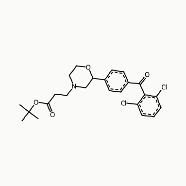 CC(C)(C)OC(=O)CCN1CCOC(c2ccc(C(=O)c3c(Cl)cccc3Cl)cc2)C1